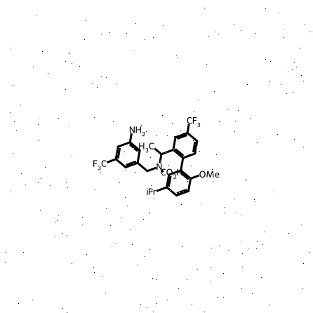 COc1ccc(C(C)C)cc1-c1ccc(C(F)(F)F)cc1C(C)N(Cc1cc(N)cc(C(F)(F)F)c1)C(=O)O